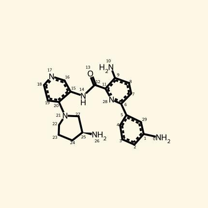 Nc1cccc(-c2ccc(N)c(C(=O)Nc3cnccc3N3CCC[C@H](N)C3)n2)c1